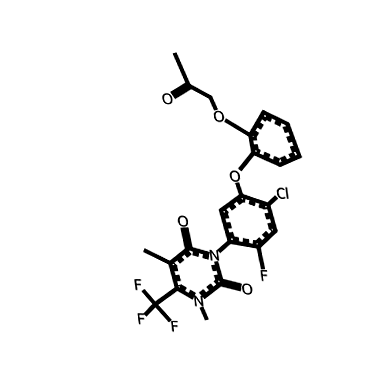 CC(=O)COc1ccccc1Oc1cc(-n2c(=O)c(C)c(C(F)(F)F)n(C)c2=O)c(F)cc1Cl